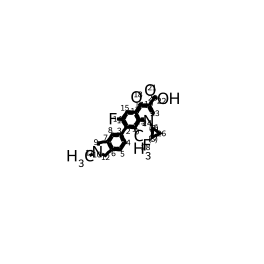 Cc1c(-c2ccc3c(c2)CN(C)C3)c(F)cc2c(=O)c(C(=O)O)cn([C@@H]3C[C@@H]3F)c12